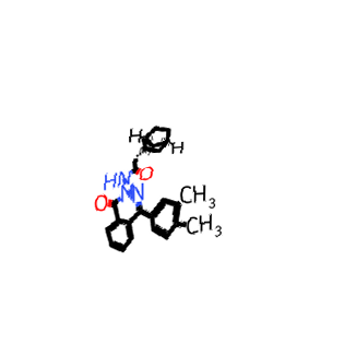 Cc1ccc(-c2nn(NC(=O)C[C@H]3C[C@@H]4CC[C@H]3C4)c(=O)c3ccccc23)cc1C